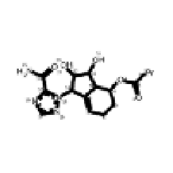 CC(C)C(=O)OC1CCC=C2C1C(O)C(O)C2n1ncnc1C(N)=O